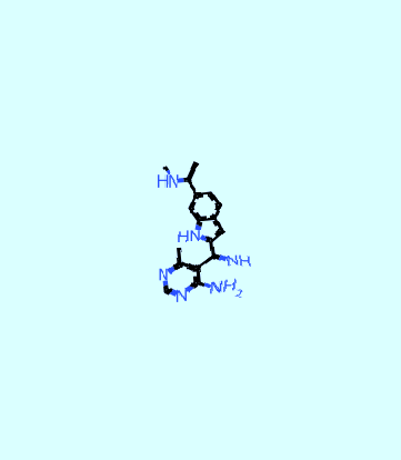 C=C(NC)c1ccc2cc(C(=N)c3c(C)ncnc3N)[nH]c2c1